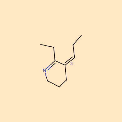 CC/C=C1/CCCN=C1CC